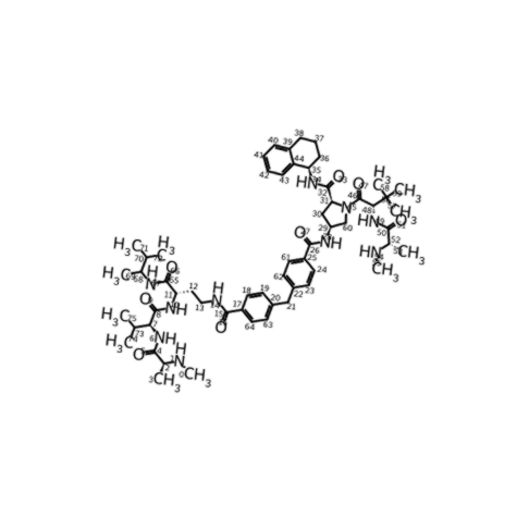 CN[C@@H](C)C(=O)N[C@H](C(=O)N[C@@H](CCNC(=O)c1ccc(Cc2ccc(C(=O)N[C@H]3C[C@@H](C(=O)N[C@@H]4CCCc5ccccc54)N(C(=O)[C@@H](NC(=O)[C@H](C)NC)C(C)(C)C)C3)cc2)cc1)C(=O)NC(C)C(C)C)C(C)C